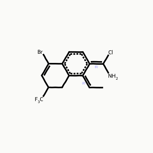 C/C=c1/c2c(cc/c1=C(/N)Cl)C(Br)=CC(C(F)(F)F)C2